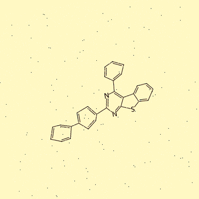 c1ccc(-c2ccc(-c3nc(-c4ccccc4)c4c(n3)sc3ccccc34)cc2)cc1